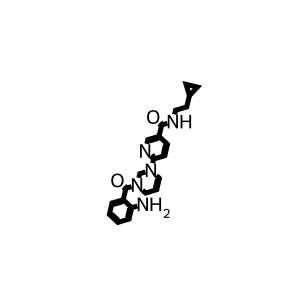 Nc1ccccc1C(=O)N1CC=CN(c2ccc(C(=O)NCCC3CC3)cn2)C1